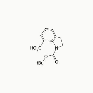 CC(C)(C)OC(=O)N1CCc2cccc(C(=O)O)c21